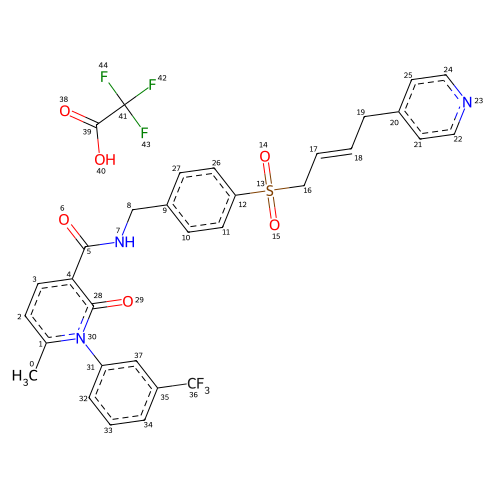 Cc1ccc(C(=O)NCc2ccc(S(=O)(=O)CC=CCc3ccncc3)cc2)c(=O)n1-c1cccc(C(F)(F)F)c1.O=C(O)C(F)(F)F